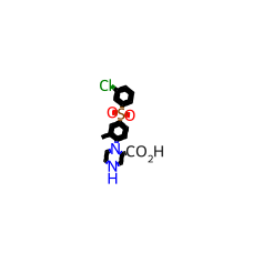 Cc1cc(S(=O)(=O)c2cccc(Cl)c2)ccc1N1CCNCC1C(=O)O